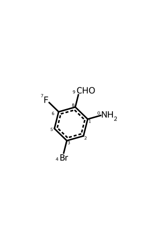 Nc1cc(Br)cc(F)c1C=O